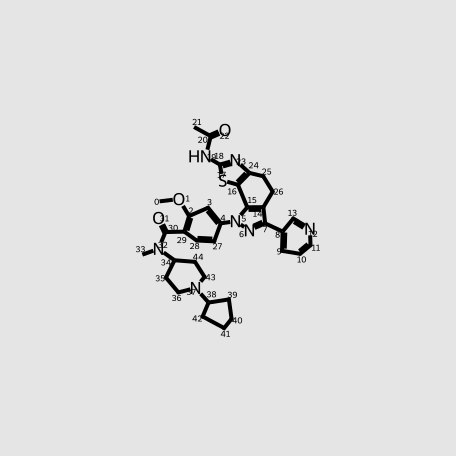 COc1cc(-n2nc(-c3cccnc3)c3c2-c2sc(NC(C)=O)nc2CC3)ccc1C(=O)N(C)C1CCN(C2CCCC2)CC1